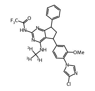 [2H]C([2H])([2H])Nc1nc(NC(=O)C(F)(F)F)nc2c1C(c1ccc(-n3cnc(Cl)c3)c(OC)c1)CC2c1ccccc1